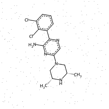 C[C@@H]1CN(c2cnc(-c3cccc(Cl)c3Cl)c(N)n2)C[C@H](C)N1